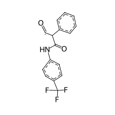 O=[C]C(C(=O)Nc1ccc(C(F)(F)F)cc1)c1ccccc1